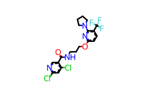 O=C(NCCCOc1ccc(C(F)(F)F)c(N2CCCC2)n1)c1cnc(Cl)cc1Cl